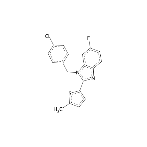 Cc1ccc(-c2nc3ccc(F)cc3n2Cc2ccc(Cl)cc2)s1